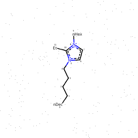 CCCCCCCCCCCCCCn1cc[n+](CCCCCC)c1CC